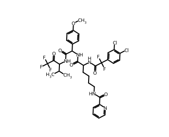 COc1ccc(C(NC(=O)C(CCCCNC(=O)c2ccccn2)NC(=O)C(F)(F)c2ccc(Cl)c(Cl)c2)C(=O)NC(C(=O)C(F)(F)F)C(C)C)cc1